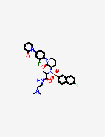 CC(C(=O)NCCN(C)C)N(C1CCCN(c2ccc(-n3ccccc3=O)cc2F)C1=O)S(=O)(=O)c1ccc2cc(Cl)ccc2c1